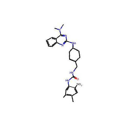 Cc1cc(NC(=O)NCC2CCC(Nc3nc(N(C)C)c4ccccc4n3)CC2)c([N+](=O)[O-])cc1C